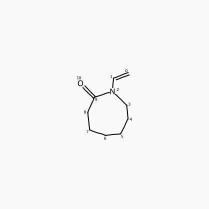 C=CN1CCCCCCC1=O